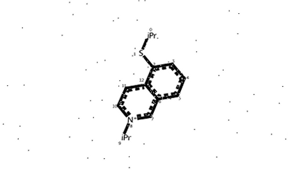 CC(C)Sc1cccc2c[n+](C(C)C)ccc12